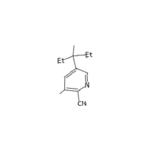 CCC(C)(CC)c1cnc(C#N)c(C)c1